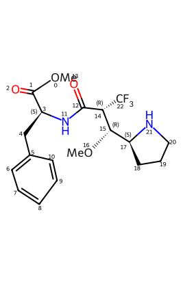 COC(=O)[C@H](Cc1ccccc1)NC(=O)[C@@H]([C@@H](OC)[C@@H]1CCCN1)C(F)(F)F